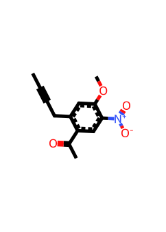 CC#CCc1cc(OC)c([N+](=O)[O-])cc1C(C)=O